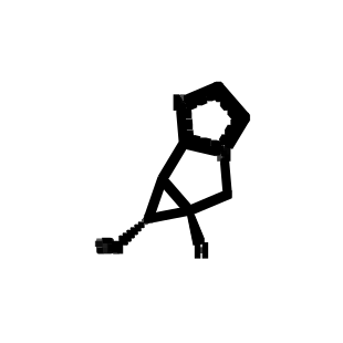 CC(C)(C)[C@@H]1C2c3nccn3C[C@@H]21